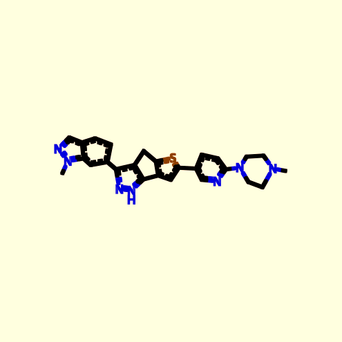 CN1CCN(c2ccc(-c3cc4c(s3)Cc3c(-c5ccc6cnn(C)c6c5)n[nH]c3-4)cn2)CC1